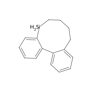 c1ccc2c(c1)CCCC[SiH2]c1ccccc1-2